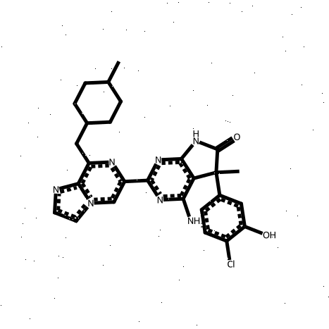 CC1CCC(Cc2nc(-c3nc(N)c4c(n3)NC(=O)C4(C)c3ccc(Cl)c(O)c3)cn3ccnc23)CC1